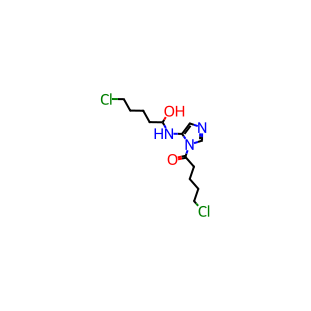 O=C(CCCCCl)n1cncc1NC(O)CCCCCl